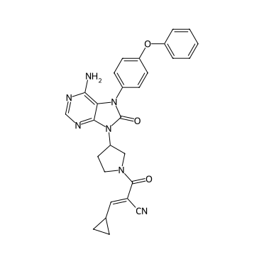 N#CC(=CC1CC1)C(=O)N1CCC(n2c(=O)n(-c3ccc(Oc4ccccc4)cc3)c3c(N)ncnc32)C1